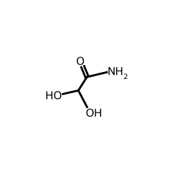 NC(=O)C(O)O